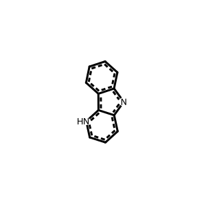 c1c[nH]c2c3ccccc3nc-2c1